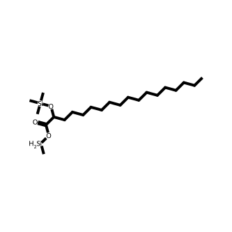 CCCCCCCCCCCCCCCCC(O[Si](C)(C)C)C(=O)O[SiH2]C